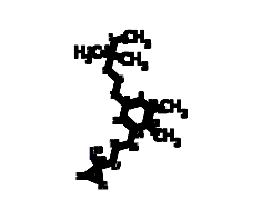 CCC(C)(C)CCCc1cc(C)c(C)c(CCCC2(I)CC2)c1